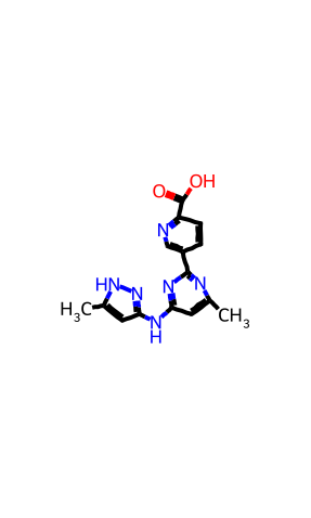 Cc1cc(Nc2cc(C)[nH]n2)nc(-c2ccc(C(=O)O)nc2)n1